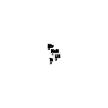 [LiH].[NaH].[Nb].[Ti]